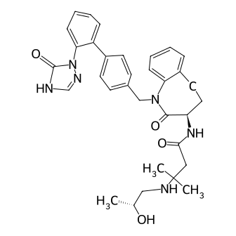 C[C@@H](O)CNC(C)(C)CC(=O)N[C@@H]1CCc2ccccc2N(Cc2ccc(-c3ccccc3-n3nc[nH]c3=O)cc2)C1=O